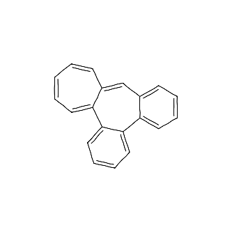 C1=CC=C2C(=Cc3ccccc3-c3ccccc32)C=C1